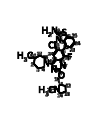 CC1CCCN(c2nc(OC[C@@H]3CCCN3C)nc3c(F)c(-c4cccc5sc(N)nc45)c(Cl)cc23)CC1